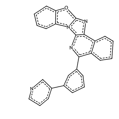 c1cncc(-c2cccc(-c3nc4c(nc5oc6ccccc6n54)c4ccccc34)c2)c1